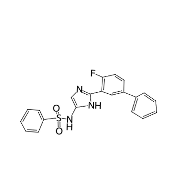 O=S(=O)(Nc1cnc(-c2cc(-c3ccccc3)ccc2F)[nH]1)c1ccccc1